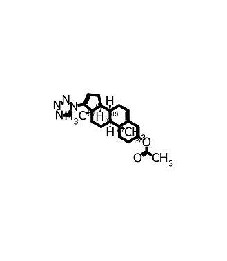 CC(=O)O[C@H]1CC[C@@]2(C)C(=CC[C@@H]3[C@@H]2CC[C@]2(C)C(n4cnnn4)=CC[C@@H]32)C1